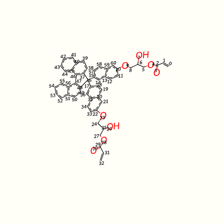 C=CC(=O)OCC(O)COc1ccc2cc(C3(c4ccc5cc(OCC(O)COC(=O)C=C)ccc5c4)c4ccc5ccccc5c4-c4c3ccc3ccccc43)ccc2c1